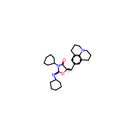 O=C1/C(=C\c2cc3c4c(c2)CCCN4CCC3)OC(=NC2CCCCC2)N1C1CCCCC1